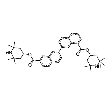 CC1(C)CC(OC(=O)c2ccc3ccc(-c4ccc5cccc(C(=O)OC6CC(C)(C)NC(C)(C)C6)c5c4)cc3c2)CC(C)(C)N1